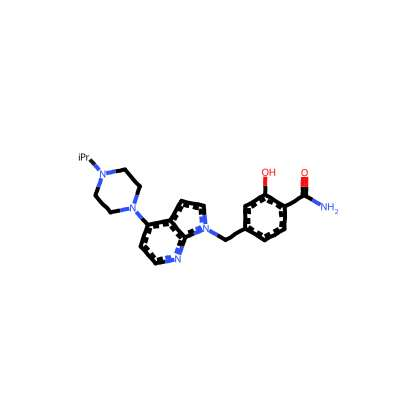 CC(C)N1CCN(c2ccnc3c2ccn3Cc2ccc(C(N)=O)c(O)c2)CC1